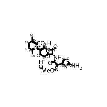 CO/N=C(\C(=O)N[C@H]1C(=O)N2C(C(=O)O)=C([n+]3cc(C)ccc3C)CCC12)c1csc(N)n1.[OH-]